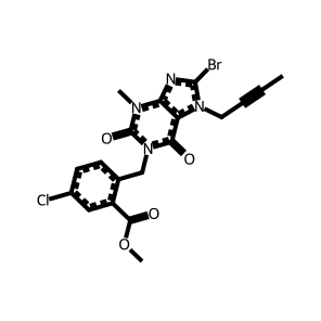 CC#CCn1c(Br)nc2c1c(=O)n(Cc1ccc(Cl)cc1C(=O)OC)c(=O)n2C